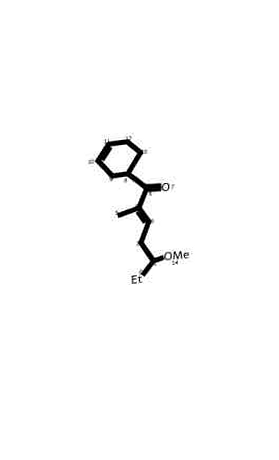 CCC(C/C=C(\C)C(=O)C1CC=CCC1)OC